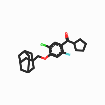 O=C(c1cc(Cl)c(OCC23CC4CC(CC(C4)C2)C3)cc1F)C1CCCC1